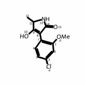 COc1cc(Cl)ccc1C1=C(O)C(C)NC1=O